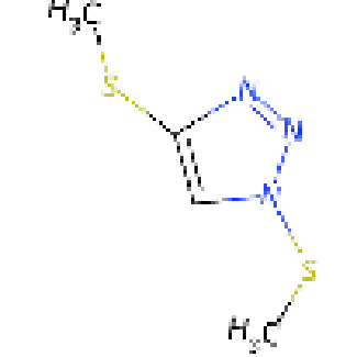 CSc1cn(SC)nn1